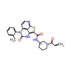 C=CC(=O)N1CCC[C@@H](NC(=O)c2sc3nccc4c3c2NC(=O)N4c2ccccc2C)C1